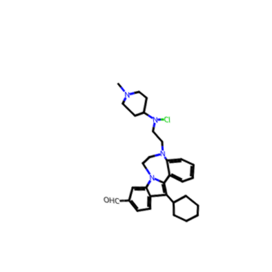 CN1CCC(N(Cl)CCN2CCn3c(c(C4CCCCC4)c4ccc(C=O)cc43)-c3ccccc32)CC1